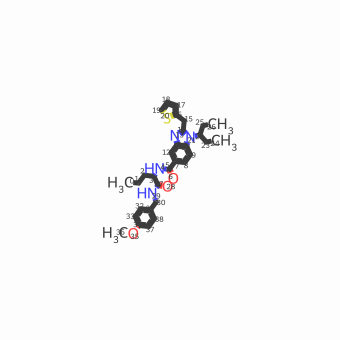 CCCC(NC(=O)c1ccc2c(c1)nc(Cc1cccs1)n2C(CC)CC)C(=O)NCc1ccc(OC)cc1